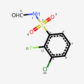 O=[C]NS(=O)(=O)c1cccc(Cl)c1F